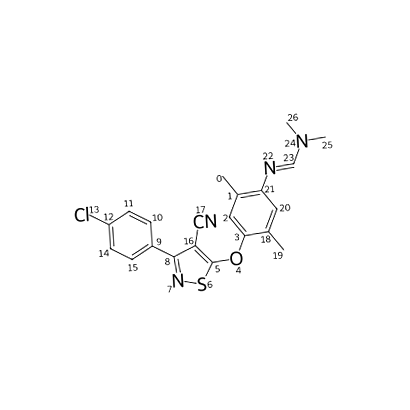 Cc1cc(Oc2snc(-c3ccc(Cl)cc3)c2C#N)c(C)cc1N=CN(C)C